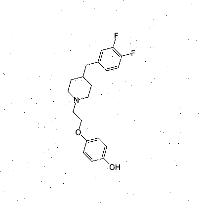 Oc1ccc(OCCN2CCC(Cc3ccc(F)c(F)c3)CC2)cc1